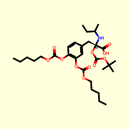 CCCCCOC(=O)Oc1ccc(C[C@](NC(C)CC)(OC(=O)OC(C)(C)C)C(=O)O)cc1OC(=O)OCCCCC